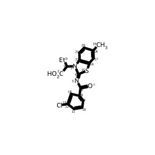 CCC(C(=O)O)n1c(=NC(=O)c2cccc(Cl)c2)sc2cc(C)ccc21